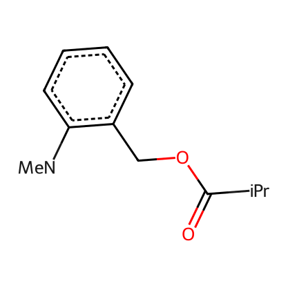 CNc1ccccc1COC(=O)C(C)C